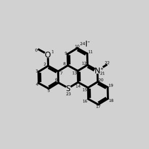 COc1cccc2c1-c1cccc3c1c(c1ccccc1[n+]3C)S2.[I-]